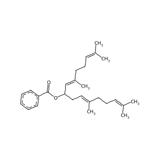 CC(C)=CCC/C(C)=C/CC(/C=C(\C)CCC=C(C)C)OC(=O)c1ccccc1